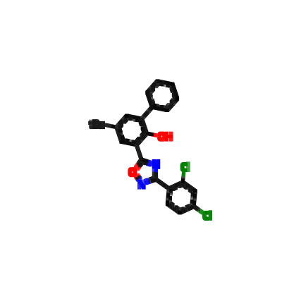 CC(C)(C)c1cc(-c2ccccc2)c(O)c(-c2nc(-c3ccc(Cl)cc3Cl)no2)c1